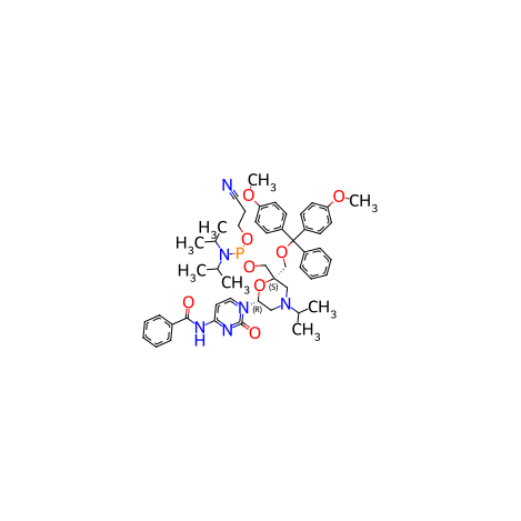 COc1ccc(C(OC[C@]2(COP(OCCC#N)N(C(C)C)C(C)C)CN(C(C)C)C[C@H](n3ccc(NC(=O)c4ccccc4)nc3=O)O2)(c2ccccc2)c2ccc(OC)cc2)cc1